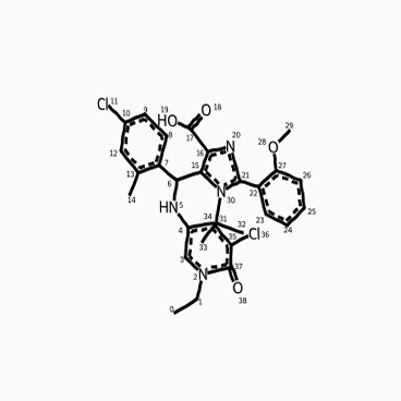 CCn1cc(NC(c2ccc(Cl)cc2C)c2c(C(=O)O)nc(-c3ccccc3OC)n2C(C)C)cc(Cl)c1=O